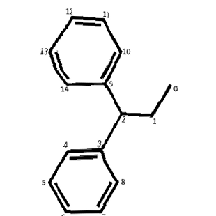 [CH2]CC(c1ccccc1)c1ccccc1